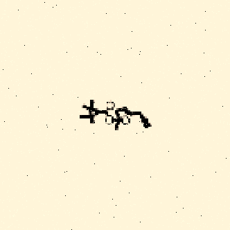 C#CCC1=CCC(C)(OC(=O)C2C(C)(C)C2(C)C)O1